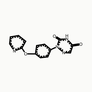 O=c1cnn(-c2ccc(Oc3ccccn3)cc2)c(=O)[nH]1